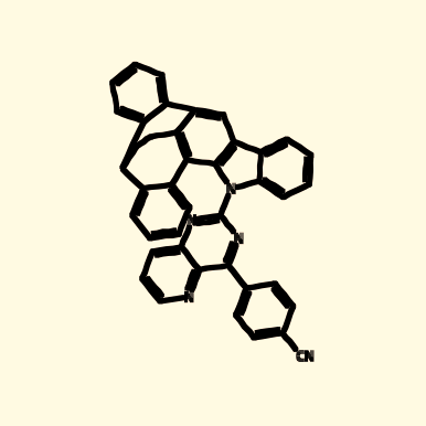 N#Cc1ccc(-c2nc(-n3c4ccccc4c4cc5c6c(c43)-c3ccccc3C(CC6)c3ccccc3-5)nc3cccnc23)cc1